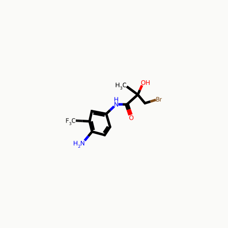 CC(O)(CBr)C(=O)Nc1ccc(N)c(C(F)(F)F)c1